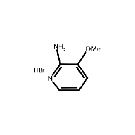 Br.COc1cccnc1N